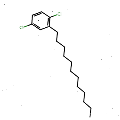 CCCCCCCCCCCCc1cc(Cl)ccc1Cl